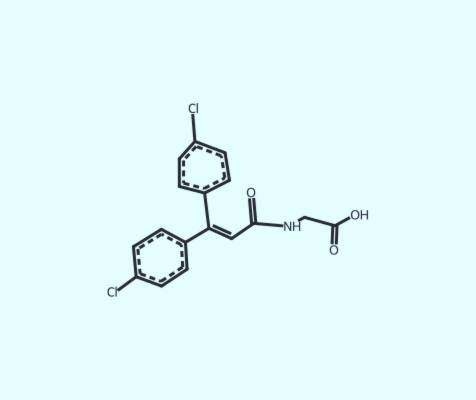 O=C(O)CNC(=O)C=C(c1ccc(Cl)cc1)c1ccc(Cl)cc1